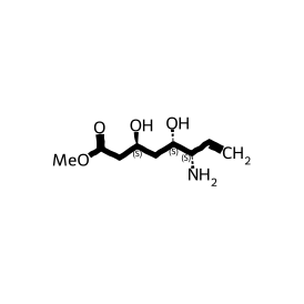 C=C[C@H](N)[C@@H](O)C[C@H](O)CC(=O)OC